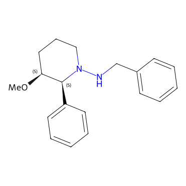 CO[C@H]1CCCN(NCc2ccccc2)[C@H]1c1ccccc1